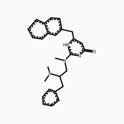 CN(CC(Cc1ccccc1)N(C)C)c1nc(=O)cc(Cc2ccc3ccccc3c2)[nH]1